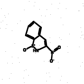 O=[N+]([O-])C1=Cc2ccccc2[S+]([O-])N1